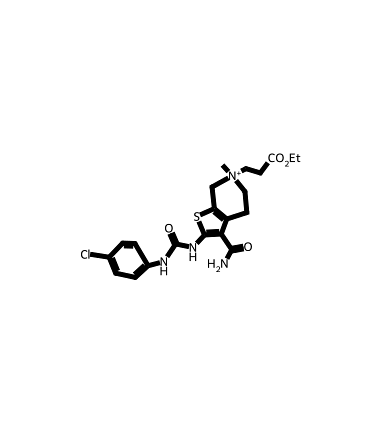 CCOC(=O)CC[N+]1(C)CCc2c(sc(NC(=O)Nc3ccc(Cl)cc3)c2C(N)=O)C1